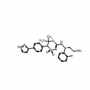 CC1(C)OC(N[C@@H](CCO)c2ccccc2F)=NS(=O)(=O)C1c1ccc(-c2cc[nH]n2)cc1